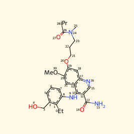 CCc1c(CO)cccc1Nc1c(C(N)=O)cnc2cc(OCCCN(C)C(=O)C(C)C)c(OC)cc12